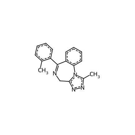 Cc1ccccc1C1=NCc2nnc(C)n2-c2ccccc21